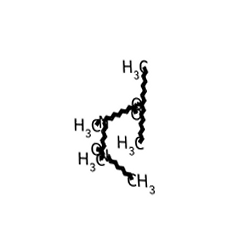 CCCCCCCCC(CCCCCCCC)OC(=O)CCCCCCCN(CC)CCCCCC(=O)N(C)CCCCCCCC